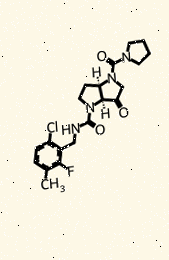 Cc1ccc(Cl)c(CNC(=O)N2CC[C@@H]3[C@H]2C(=O)CN3C(=O)N2CCCC2)c1F